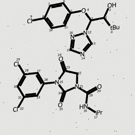 CC(C)(C)C(O)C(Oc1ccc(Cl)cc1)n1cncn1.CC(C)NC(=O)N1CC(=O)N(c2cc(Cl)cc(Cl)c2)C1=O